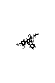 CCCCNC(=O)c1cc(-c2ccc(O)c(OC)c2)n(CC2CCCCC2)c1C